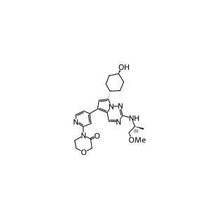 COC[C@H](C)Nc1ncc2c(-c3ccnc(N4CCOCC4=O)c3)cc([C@H]3CC[C@H](O)CC3)n2n1